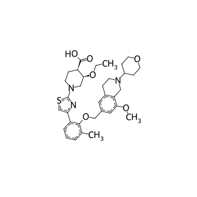 CCO[C@H]1CN(c2nc(-c3cccc(C)c3OCc3cc4c(c(OC)c3)CN(C3CCOCC3)CC4)cs2)CC[C@H]1C(=O)O